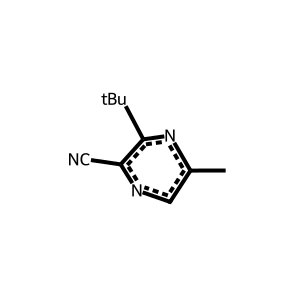 Cc1cnc(C#N)c(C(C)(C)C)n1